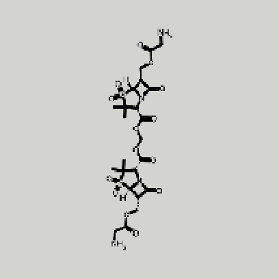 CC1(C)[C@H](C(=O)OCOC(=O)[C@@H]2N3C(=O)[C@H](COC(=O)CN)[C@H]3S(=O)(=O)C2(C)C)N2C(=O)[C@H](COC(=O)CN)[C@H]2S1(=O)=O